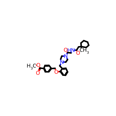 COC(=O)c1ccc(COc2ccccc2CN2CCN(C(=O)CNC(=O)CC3(C)CCCCC3)CC2)cc1